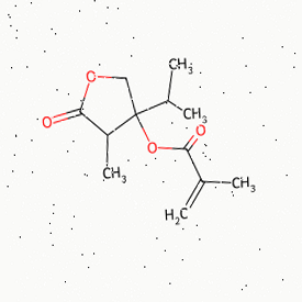 C=C(C)C(=O)OC1(C(C)C)COC(=O)C1C